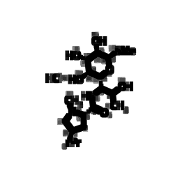 CCC[C@@H]1C[C@@H](C(=O)NC(C(C)O)[C@H]2O[C@H](SC)[C@H](O)[C@@H](O)[C@H]2O)N(C)C1.Cl